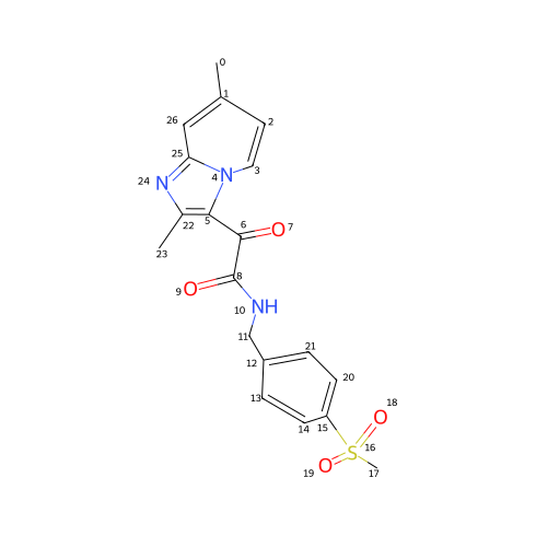 Cc1ccn2c(C(=O)C(=O)NCc3ccc(S(C)(=O)=O)cc3)c(C)nc2c1